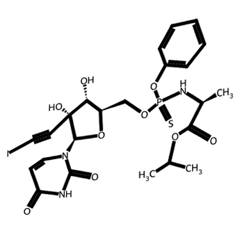 CC(C)OC(=O)[C@H](C)NP(=S)(OC[C@H]1O[C@@H](n2ccc(=O)[nH]c2=O)[C@@](O)(C#CI)[C@@H]1O)Oc1ccccc1